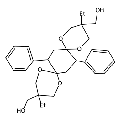 CCC1(CO)COC2(CC(c3ccccc3)C3(CC2c2ccccc2)OCC(CC)(CO)CO3)OC1